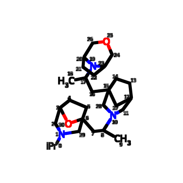 CC(C)N1CC2CCC(CC(C)N3CC4CCC(CC(C)N5C6CCC5COC6)(C4)C3)(C1)O2